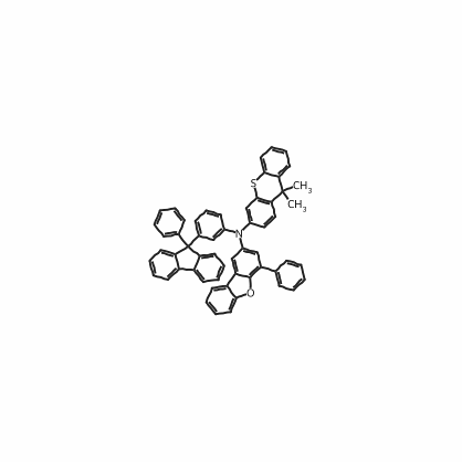 CC1(C)c2ccccc2Sc2cc(N(c3cccc(C4(c5ccccc5)c5ccccc5-c5ccccc54)c3)c3cc(-c4ccccc4)c4oc5ccccc5c4c3)ccc21